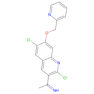 CC(=N)c1cc2cc(Cl)c(OCc3ccccn3)cc2nc1Cl